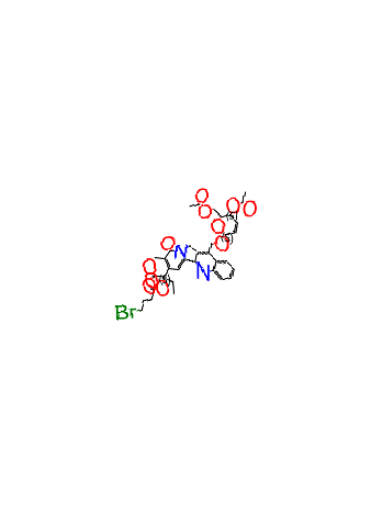 CC[C@@]1(OC(=O)CCCBr)C(=O)OCc2c1cc1n(c2=O)Cc2c-1nc1ccccc1c2CO[C@@H]1C=C[C@H](OC(C)=O)C(COC(C)=O)O1